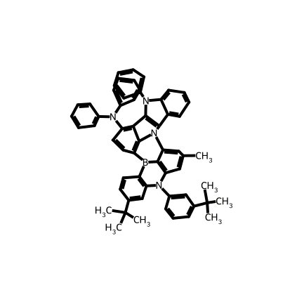 Cc1cc2c3c(c1)-n1c4c(ccc(N(c5ccccc5)c5ccccc5)c4c4c1c1ccccc1n4-c1ccccc1)B3c1ccc(C(C)(C)C)cc1N2c1cccc(C(C)(C)C)c1